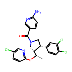 C[C@H](Oc1ccc(Cl)cn1)[C@@H]1CN(C(=O)c2ccc(N)nc2)C[C@@H]1c1ccc(Cl)c(Cl)c1